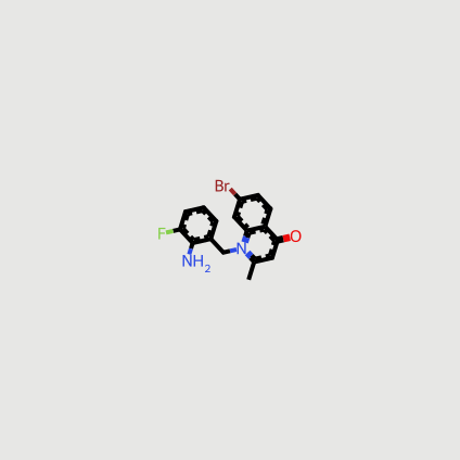 Cc1cc(=O)c2ccc(Br)cc2n1Cc1cccc(F)c1N